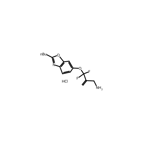 C=C(CN)C(F)(F)Oc1ccc2nc(CCCC)oc2c1.Cl